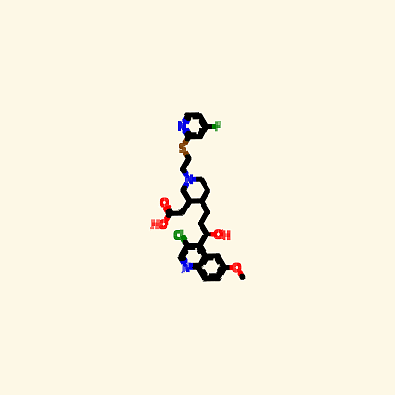 COc1ccc2ncc(Cl)c([C@H](O)CCC3CCN(CCSc4cc(F)ccn4)CC3CC(=O)O)c2c1